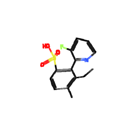 CCc1c(C)ccc(S(=O)(=O)O)c1-c1ncccc1F